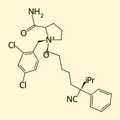 CC(C)[C@@](C#N)(CCCCC(=O)[N@@+]1(Cc2ccc(Cl)cc2Cl)CCCC1C(N)=O)c1ccccc1